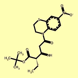 CC[C@@H](C(=N)CC(=O)N1CCSc2cc([N+](=O)[O-])ccc21)C(=O)OC(C)(C)C